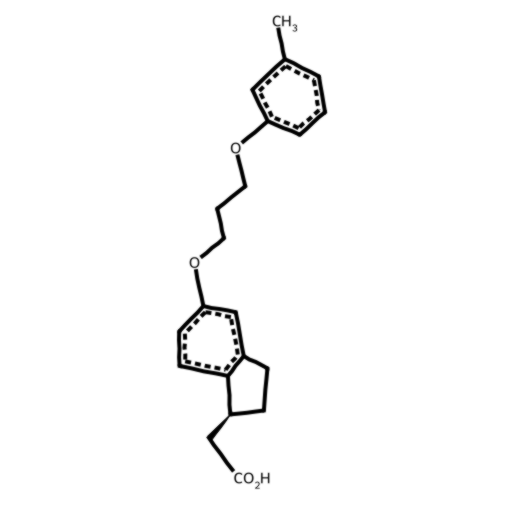 Cc1cccc(OCCCOc2ccc3c(c2)CC[C@H]3CC(=O)O)c1